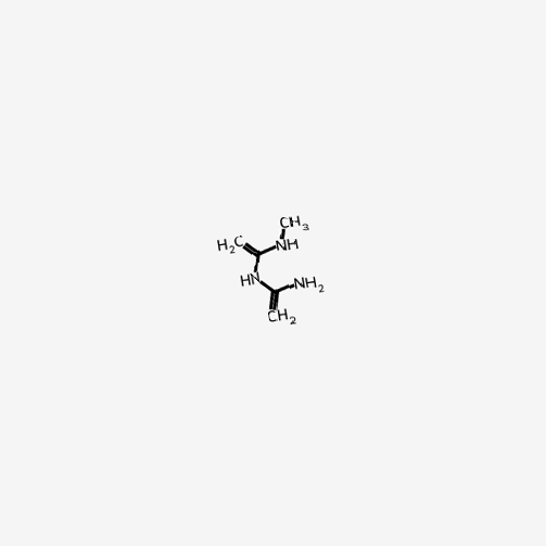 C=C(N)NC(=C)NC